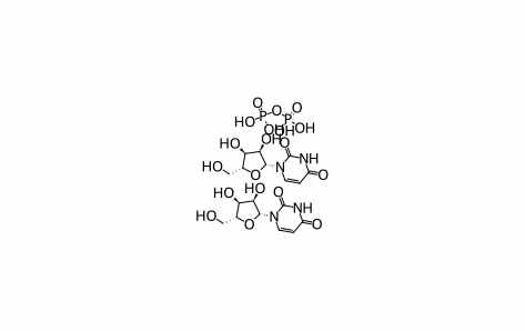 O=P(O)(O)OP(=O)(O)O.O=c1ccn([C@@H]2O[C@H](CO)[C@@H](O)[C@H]2O)c(=O)[nH]1.O=c1ccn([C@@H]2O[C@H](CO)[C@@H](O)[C@H]2O)c(=O)[nH]1